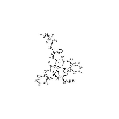 CNC(=O)c1noc([C@@H](Cc2ccccc2)N(C)C(=O)C(Cc2ccc3ccccc3c2)NC(=O)/C=C/C(C)(C)N)n1